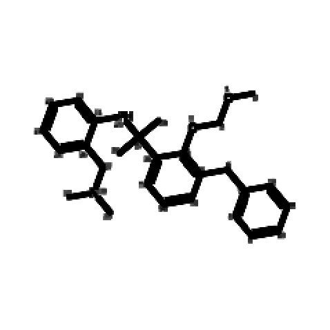 COCOc1c(Cc2ccccc2)cccc1C(C)(C)Pc1ccccc1CN(C)C